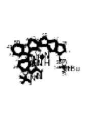 CC1(C)Cn2ncc([S@@](=O)(=NC(=O)Nc3c4c(cc5c3[C@H](CO[Si](C)(C)C(C)(C)C)CC5)CCC4)NC(c3ccccc3)(c3ccccc3)c3ccccc3)c2O1